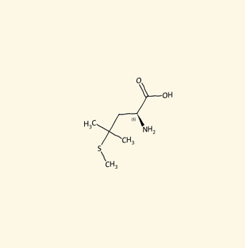 CSC(C)(C)C[C@H](N)C(=O)O